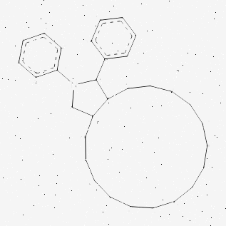 c1ccc(C2C3CCCCCCCCCCCCCCCC3CN2c2ccccc2)cc1